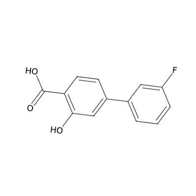 O=C(O)c1ccc(-c2cccc(F)c2)cc1O